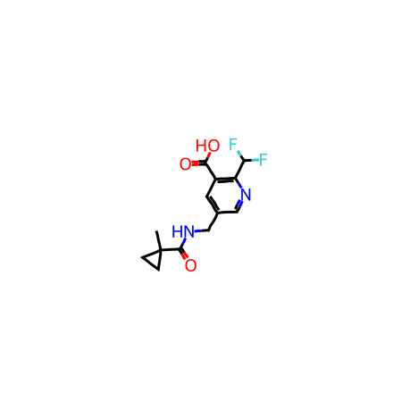 CC1(C(=O)NCc2cnc(C(F)F)c(C(=O)O)c2)CC1